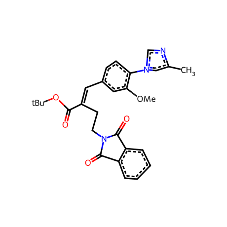 COc1cc(/C=C(\CCN2C(=O)c3ccccc3C2=O)C(=O)OC(C)(C)C)ccc1-n1cnc(C)c1